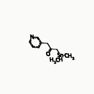 [CH3][SnH]([CH3])[CH2]C(=O)Cc1cccnc1